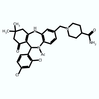 CC(=O)N1c2ccc(CN3CCC(C(N)=O)CC3)cc2NC2=C(C(=O)CC(C)(C)C2)C1c1ccc(Cl)cc1Cl